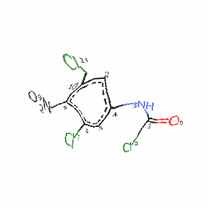 O=C(Cl)Nc1cc(Cl)c([N+](=O)[O-])c(Cl)c1